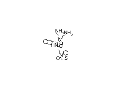 NCCCN(CCCN)C(=O)[C@@H](Cc1ccc2ccccc2c1)NC(=O)CCCN1C(=O)CCSc2ccccc21